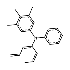 C=C/C=C(\C=C/C)N(c1ccccc1)c1cc(C)c(C)c(C)c1